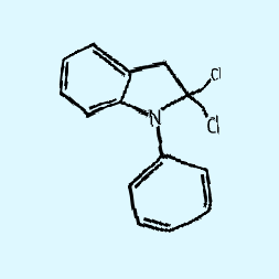 ClC1(Cl)Cc2ccccc2N1c1ccccc1